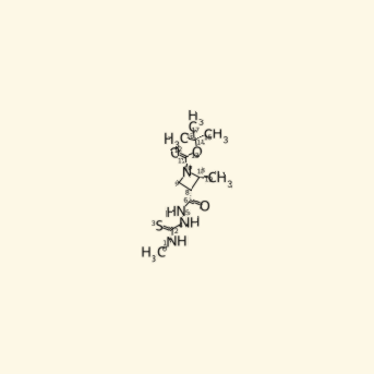 CNC(=S)NNC(=O)[C@@H]1CN(C(=O)OC(C)(C)C)[C@H]1C